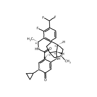 C[C@@H](NC(=O)c1cn(C2CC2)c(=O)cc1N[C@@H]1[C@@H]2CC[C@H]1CN(C)C2)c1cccc(C(F)F)c1F